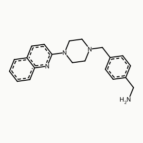 NCc1ccc(CN2CCN(c3ccc4ccccc4n3)CC2)cc1